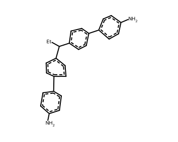 CCC(c1ccc(-c2ccc(N)cc2)cc1)c1ccc(-c2ccc(N)cc2)cc1